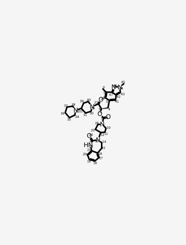 Cc1cc(C[C@@H](OC(=O)N2CCC(N3CCc4ccccc4NC3=O)CC2)C(=O)N2CCC(N3CCCCC3)CC2)cc2cn(C)nc12